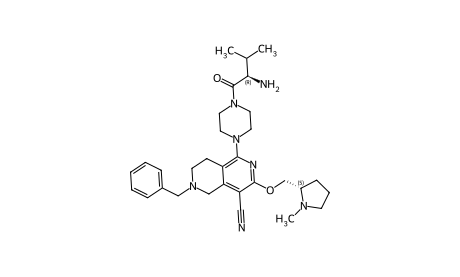 CC(C)[C@@H](N)C(=O)N1CCN(c2nc(OC[C@@H]3CCCN3C)c(C#N)c3c2CCN(Cc2ccccc2)C3)CC1